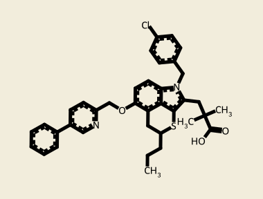 CCCC1Cc2c(OCc3ccc(-c4ccccc4)cn3)ccc3c2c(c(CC(C)(C)C(=O)O)n3Cc2ccc(Cl)cc2)S1